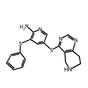 Nc1ncc(Sc2ncnc3c2CNCC3)cc1Sc1ccccc1